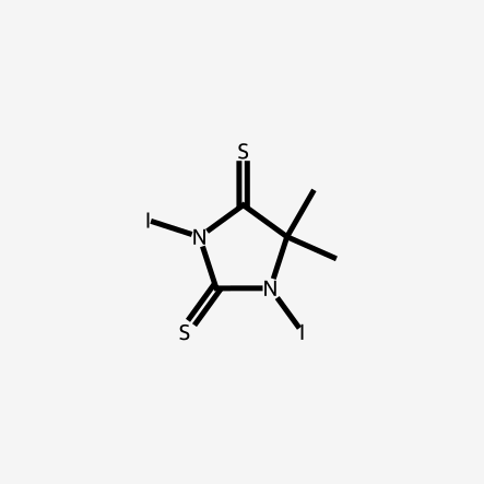 CC1(C)C(=S)N(I)C(=S)N1I